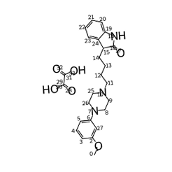 COc1cccc(N2CCN(CCCCC3C(=O)Nc4ccccc43)CC2)c1.O=C(O)C(=O)O